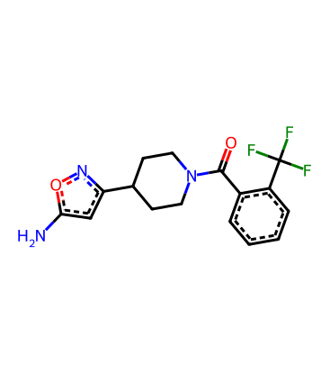 Nc1cc(C2CCN(C(=O)c3ccccc3C(F)(F)F)CC2)no1